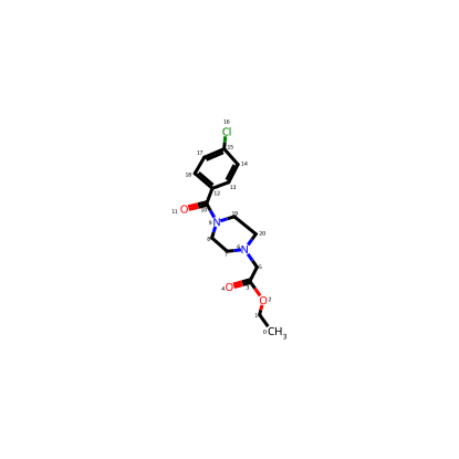 CCOC(=O)CN1CCN(C(=O)c2ccc(Cl)cc2)CC1